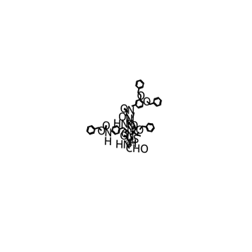 CC1(C)S[C@@H]2[C@@H](NC=O)C(=O)N2[C@@]1(NC(=O)C(NC(=O)N1CCN(Cc2ccc(OCc3ccccc3)c(OCc3ccccc3)c2)C(=O)C1=O)c1ccc(NC(=O)OCc2ccccc2)cc1)C(=O)OCc1ccccc1